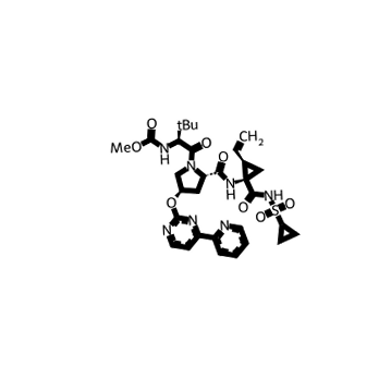 C=C[C@H]1C[C@]1(NC(=O)[C@@H]1C[C@@H](Oc2nccc(-c3ccccn3)n2)CN1C(=O)[C@@H](NC(=O)OC)C(C)(C)C)C(=O)NS(=O)(=O)C1CC1